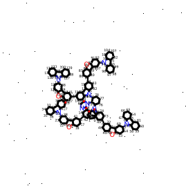 c1ccc(-c2nccn2-c2c(-n3c4ccc(-c5ccc6oc7ccc(-n8c9ccccc9c9ccccc98)cc7c6c5)cc4c4cc(-c5ccc6oc7ccc(-n8c9ccccc9c9ccccc98)cc7c6c5)ccc43)cccc2-n2c3ccc(-c4ccc5oc6ccc(-n7c8ccccc8c8ccccc87)cc6c5c4)cc3c3cc(-c4ccc5oc6ccc(-n7c8ccccc8c8ccccc87)cc6c5c4)ccc32)cc1